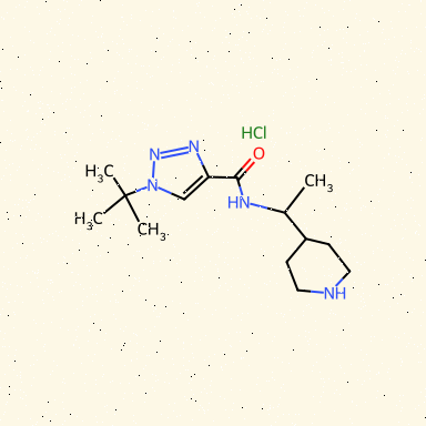 CC(NC(=O)c1cn(C(C)(C)C)nn1)C1CCNCC1.Cl